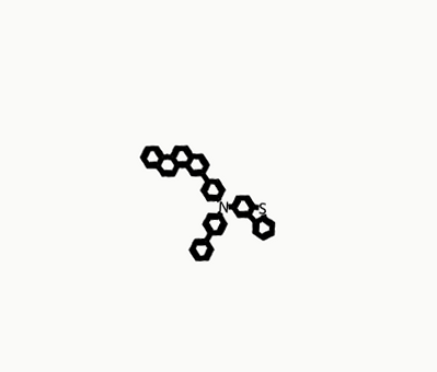 c1ccc(-c2ccc(N(c3ccc(-c4ccc5ccc6c7ccccc7ccc6c5c4)cc3)c3ccc4sc5ccccc5c4c3)cc2)cc1